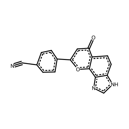 N#Cc1ccc(-c2cc(=O)c3ccc4[nH]cnc4c3o2)cc1